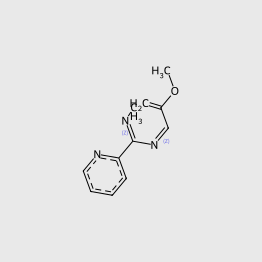 C=C(/C=N\C(=N/C)c1ccccn1)OC